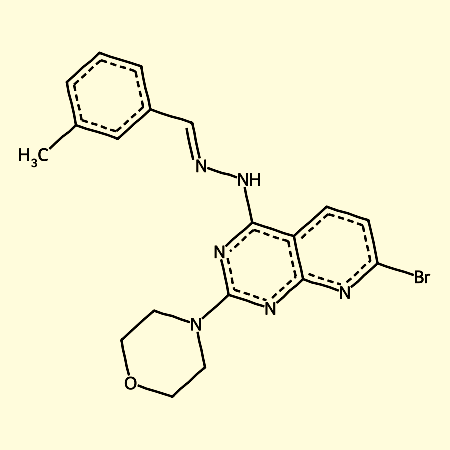 Cc1cccc(C=NNc2nc(N3CCOCC3)nc3nc(Br)ccc23)c1